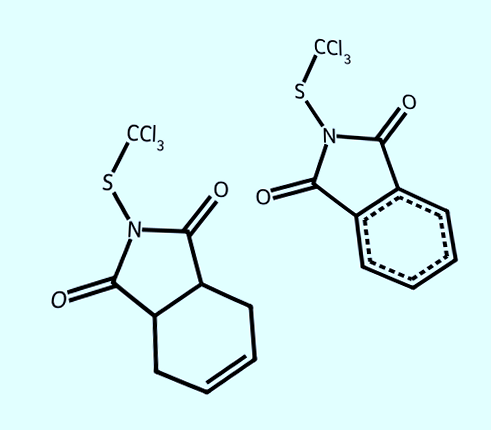 O=C1C2CC=CCC2C(=O)N1SC(Cl)(Cl)Cl.O=C1c2ccccc2C(=O)N1SC(Cl)(Cl)Cl